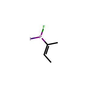 C/C=C(\C)P(F)I